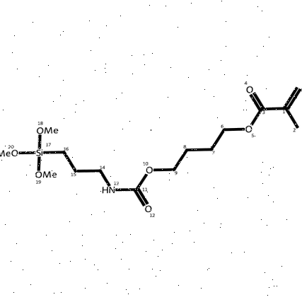 C=C(C)C(=O)OCCCCOC(=O)NCCC[Si](OC)(OC)OC